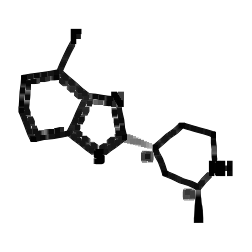 C[C@H]1C[C@H](c2nc3c(F)cccc3s2)CCN1